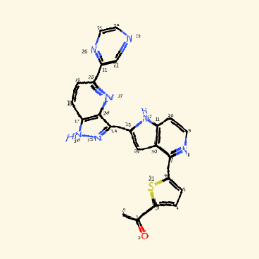 CC(=O)c1ccc(-c2nccc3[nH]c(-c4n[nH]c5ccc(-c6cnccn6)nc45)cc23)s1